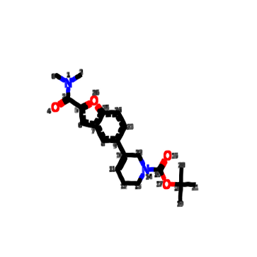 CN(C)C(=O)c1cc2cc(C3=CCCN(C(=O)OC(C)(C)C)C3)ccc2o1